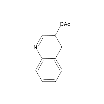 CC(=O)OC1C=Nc2ccccc2C1